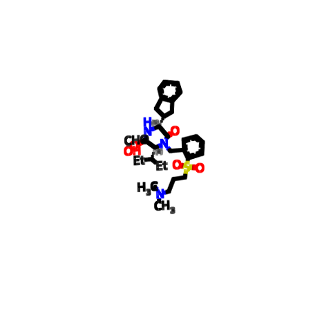 CCC(CC)[C@@H]1C(=O)N[C@H](C2Cc3ccccc3C2)C(=O)N1Cc1ccccc1S(=O)(=O)CCCN(C)C.O=CO